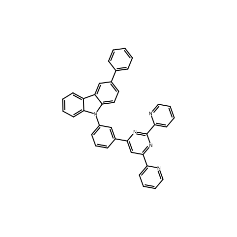 c1ccc(-c2ccc3c(c2)c2ccccc2n3-c2cccc(-c3cc(-c4ccccn4)nc(-c4ccccn4)n3)c2)cc1